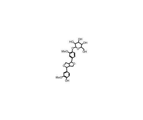 COc1cc(C2OCC3C(c4ccc(OC5OC(CO)C(O)C(O)C5O)c(OC)c4)OCC23)ccc1O